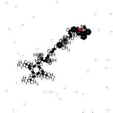 Cc1cc(OCCCC(=O)NCCC[C@H](C[C@H](CS(=O)(=O)O)NC(=O)CN2CCN(CC(=O)OC(C)(C)C)CCN(CC(=O)OC(C)(C)C)CCN(CC(=O)OC(C)(C)C)CC2)CS(=O)(=O)O)cc(C)c1S(=O)(=O)N[C@@H](CNC(=O)C1CC(=O)c2ccc(CNc3nccn3C(c3ccccc3)(c3ccccc3)c3ccccc3)cc2N1C)C(=O)O